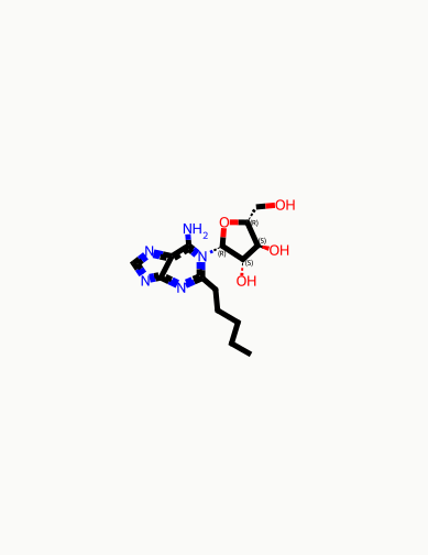 CCCCCc1nc2ncnc-2c(N)n1[C@@H]1O[C@H](CO)[C@@H](O)[C@@H]1O